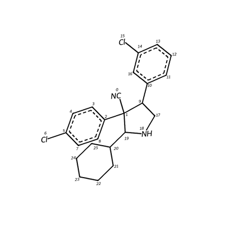 N#CC1(c2ccc(Cl)cc2)C(c2cccc(Cl)c2)CNC1C1CCCCC1